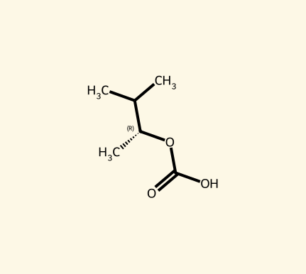 CC(C)[C@@H](C)OC(=O)O